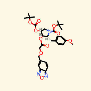 COc1ccc(C[C@@H]2[C@H](OC(=O)COCc3ccc4nonc4c3)[C@@H](OC(=O)OC(C)(C)C)CN2C(=O)OC(C)(C)C)cc1